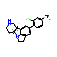 FC(F)(F)c1ccc(-c2cc3c4c(c2)[C@H]2CNCC[C@H]2N4CC3)c(Cl)c1